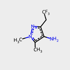 Cc1c(N)c(CC(F)(F)F)nn1C